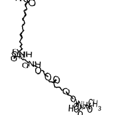 CC(=O)CC[C@H](NC(=O)COCCOCCCC(=O)COCCOCCNC(=O)CC[C@H](NC(=O)CCCCCCCCCCCCCCC(=O)O)C(=O)O)C(=O)O